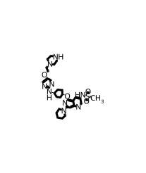 CS(=O)(=O)Nc1cnc2cc(N3CCCCC3)nc(O[C@H]3CC[C@@H](Nc4ncc(OCCN5CCNCC5)cn4)CC3)c2c1